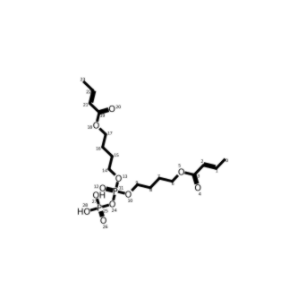 CC=CC(=O)OCCCCOP(=O)(OCCCCOC(=O)C=CC)OP(=O)(O)O